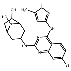 Cc1cc(Nc2nc(NC3CC4CC(O)C(C3)N4O)nc3cc(Cl)ccc23)n[nH]1